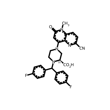 Cn1c(=O)cc(N2CCN(C(c3ccc(F)cc3)c3ccc(F)cc3)[C@H](C(=O)O)C2)c2nc(C#N)ccc21